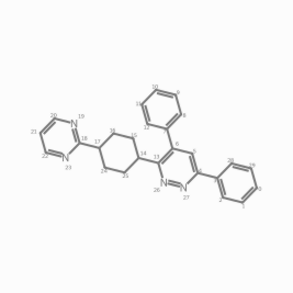 c1ccc(-c2cc(-c3ccccc3)c(C3CCC(c4ncccn4)CC3)nn2)cc1